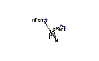 CCCCC/C=C\C/C=C\CCCCCCCCC1(CCCCCCCC/C=C\C/C=C\CCCCC)OCC(CNCCN(C)C)O1